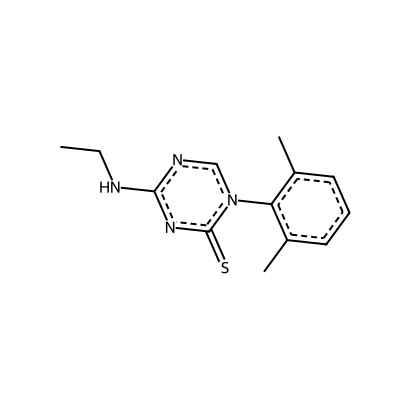 CCNc1ncn(-c2c(C)cccc2C)c(=S)n1